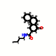 CCCCNC(=O)c1cc([O])c2ccc3ccccc3c2c1